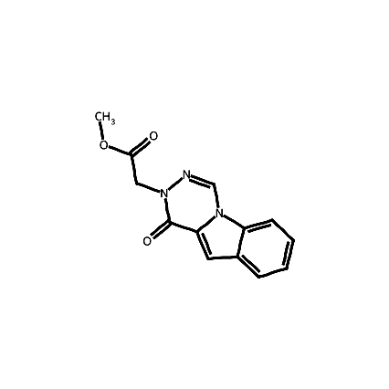 COC(=O)Cn1ncn2c(cc3ccccc32)c1=O